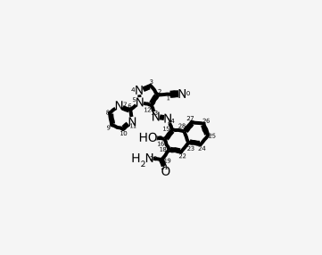 N#Cc1cnn(-c2ncccn2)c1/N=N/c1c(O)c(C(N)=O)cc2ccccc12